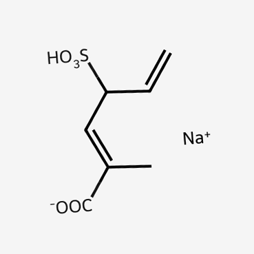 C=CC(C=C(C)C(=O)[O-])S(=O)(=O)O.[Na+]